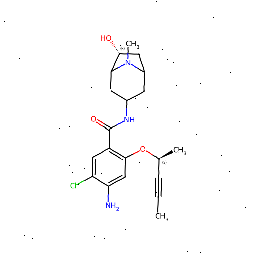 CC#C[C@H](C)Oc1cc(N)c(Cl)cc1C(=O)NC1CC2C[C@@H](O)C(C1)N2C